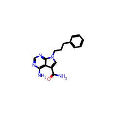 NC(=O)c1cn(CCCc2ccccc2)c2ncnc(N)c12